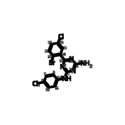 Nc1nc(Nc2ccc(Cl)cc2)nc(-c2cc(Cl)ccc2Br)n1